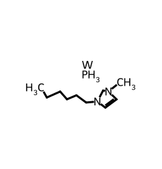 CCCCCCN1C=CN(C)C1.P.[W]